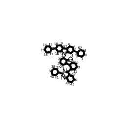 c1ccc(-c2ccc3c4ccc(-c5ccccc5)cc4n(-c4cccc5c4oc4cccc(-c6nc(-c7ccccc7)nc7ccccc67)c45)c3c2)cc1